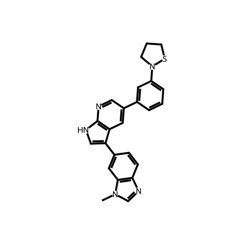 Cn1cnc2ccc(-c3c[nH]c4ncc(-c5cccc(N6CCCS6)c5)cc34)cc21